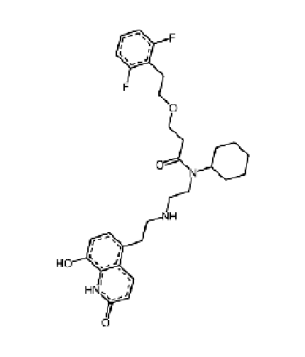 O=C(CCOCCc1c(F)cccc1F)N(CCNCCc1ccc(O)c2[nH]c(=O)ccc12)C1CCCCC1